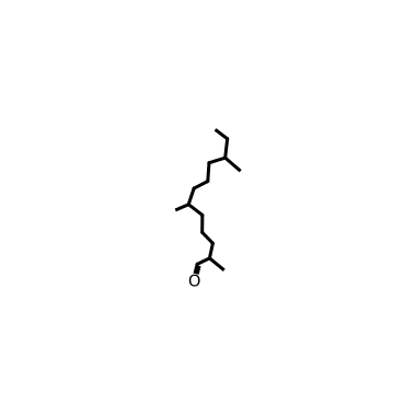 CCC(C)CCCC(C)CCCC(C)C=O